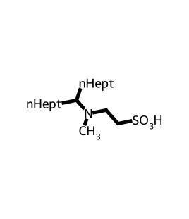 CCCCCCCC(CCCCCCC)N(C)CCS(=O)(=O)O